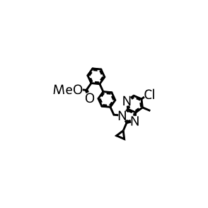 COC(=O)c1ccccc1-c1ccc(Cn2c(C3CC3)nc3c(C)c(Cl)cnc32)cc1